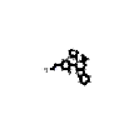 C/C=C/c1cc(F)c(C2c3[nH]c4ccccc4c3CC3(CC3)N2C2CCOC2)c(F)c1